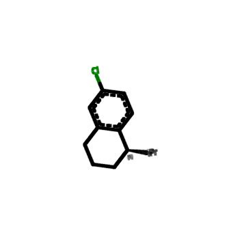 CC(C)[C@H]1CCCc2cc(Cl)ccc21